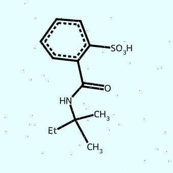 CCC(C)(C)NC(=O)c1ccccc1S(=O)(=O)O